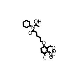 CC(O)N(C(=O)CCCCOc1ccc(Cl)c([N+](=O)[O-])c1C=O)C1CCCCC1